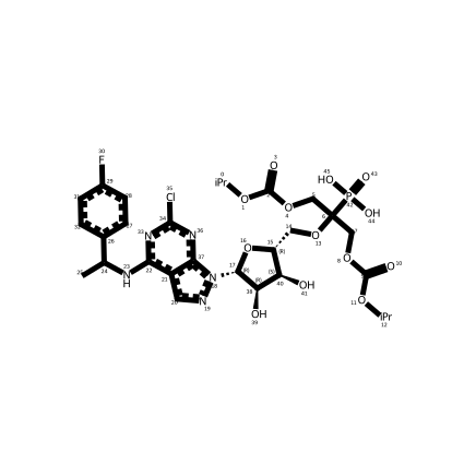 CC(C)OC(=O)OCC(COC(=O)OC(C)C)(OC[C@H]1O[C@@H](n2ncc3c(NC(C)c4ccc(F)cc4)nc(Cl)nc32)[C@H](O)[C@@H]1O)P(=O)(O)O